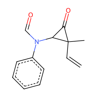 C=CC1(C)C(=O)C1N(C=O)c1ccccc1